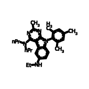 CCCN(CCC)c1nc(C)nc2c1c1cc(NCC)ccc1n2-c1c(C)cc(C)cc1C